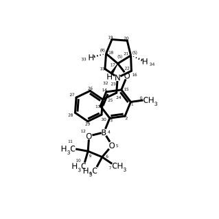 Cc1cc(B2OC(C)(C)C(C)(C)O2)ccc1O[C@@H]1[C@@H]2CC[C@H]1CN(Cc1ccccc1)C2